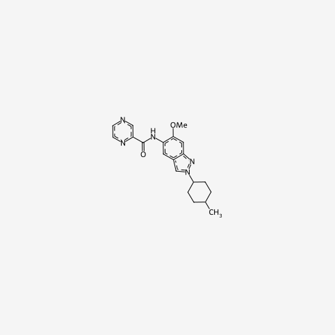 COc1cc2nn(C3CCC(C)CC3)cc2cc1NC(=O)c1cnccn1